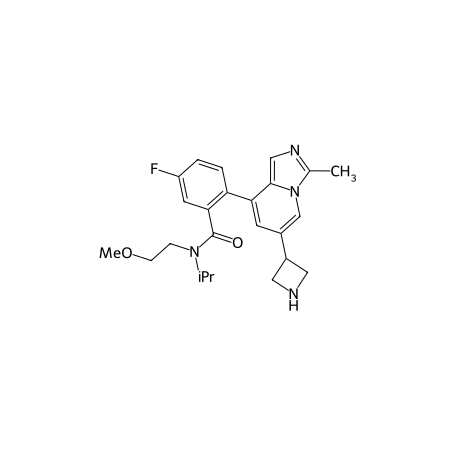 COCCN(C(=O)c1cc(F)ccc1-c1cc(C2CNC2)cn2c(C)ncc12)C(C)C